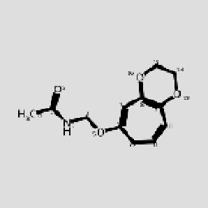 CC(=O)NCOC1=CC2=C(C=CC1)OCCO2